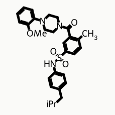 COc1ccccc1N1CCN(C(=O)c2cc(S(=O)(=O)Nc3ccc(CC(C)C)cc3)ccc2C)CC1